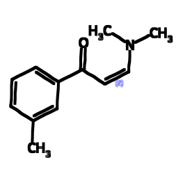 Cc1cccc(C(=O)/C=C\N(C)C)c1